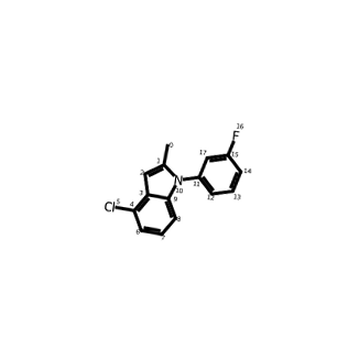 Cc1cc2c(Cl)cccc2n1-c1cccc(F)c1